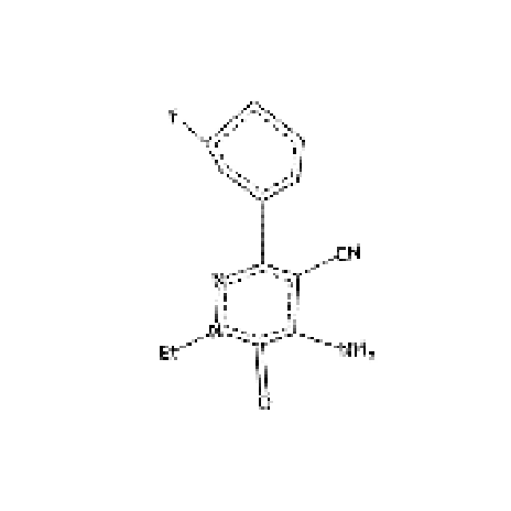 CCn1nc(-c2cccc(F)c2)c(C#N)c(N)c1=O